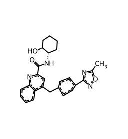 Cc1nc(-c2ccc(Cc3cc(C(=O)N[C@H]4CCCC[C@@H]4O)nc4ccccc34)cc2)no1